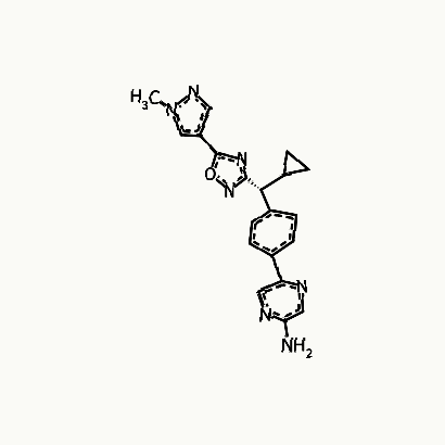 Cn1cc(-c2nc([C@@H](c3ccc(-c4cnc(N)cn4)cc3)C3CC3)no2)cn1